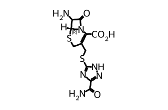 NC(=O)c1n[nH]c(SCC2=C(C(=O)O)N3C(=O)C(N)[C@H]3SC2)n1